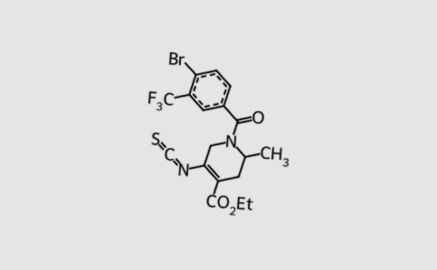 CCOC(=O)C1=C(N=C=S)CN(C(=O)c2ccc(Br)c(C(F)(F)F)c2)C(C)C1